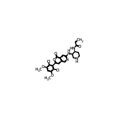 C=CC(=O)N[C@H]1CCNCC1Nc1cc2c(=O)oc(-c3c(Cl)c(OC)cc(OC)c3Cl)cc2cn1